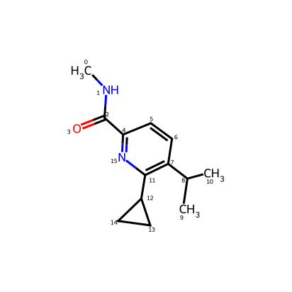 CNC(=O)c1ccc(C(C)C)c(C2CC2)n1